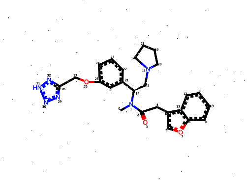 CN(C(=O)Cc1coc2ccccc12)[C@H](CN1CCCC1)c1cccc(OCc2nn[nH]n2)c1